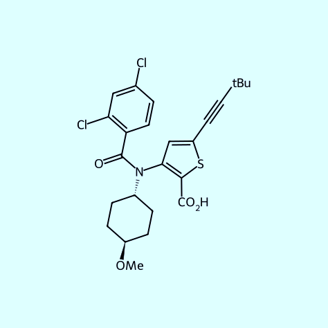 CO[C@H]1CC[C@H](N(C(=O)c2ccc(Cl)cc2Cl)c2cc(C#CC(C)(C)C)sc2C(=O)O)CC1